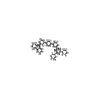 c1ccc(-c2nc(-c3ccccc3)nc(-c3cccc(-c4ccc(-c5cccc(-n6c7ccccc7c7ccccc76)c5)cc4)c3)n2)cc1